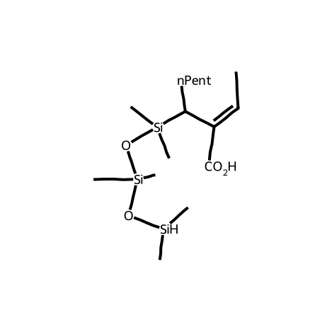 CC=C(C(=O)O)C(CCCCC)[Si](C)(C)O[Si](C)(C)O[SiH](C)C